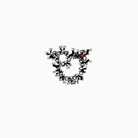 C=C[Si]1(C)O[Si](C)(C)O[Si](C=C)(O[Si](O)(C=C)OC)O[Si](C)(C)O[Si]2(C=C)O[Si](C)(C)O[Si](C=C)(O[Si](C)(C)C)O[Si](C=C)(O[Si](C)(C)O[Si](C)(C)O[Si](C)(O)O1)O[Si](C)(C)O2